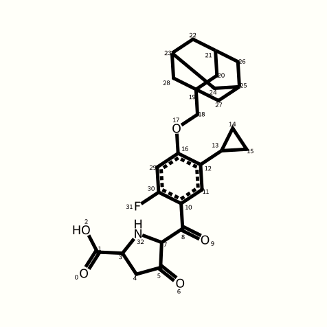 O=C(O)C1CC(=O)C(C(=O)c2cc(C3CC3)c(OCC34CC5CC(CC(C5)C3)C4)cc2F)N1